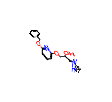 CC(C)NCC(O)COc1cccc(OCc2ccccc2)n1